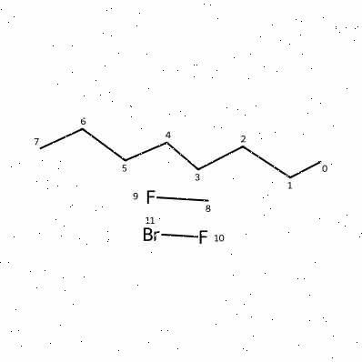 CCCCCCCC.CF.FBr